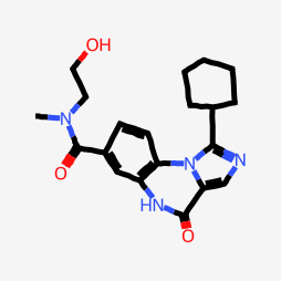 CN(CCO)C(=O)c1ccc2c(c1)[nH]c(=O)c1cnc(C3CCCCC3)n12